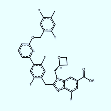 Cc1cc(F)c(COc2cccc(-c3cc(F)c(Cc4nc5c(F)cc(C(=O)O)cc5n4C[C@@H]4CCO4)cc3F)n2)cc1F